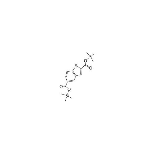 C[Si](C)(C)OC(=O)c1ccc2sc(C(=O)O[Si](C)(C)C)cc2c1